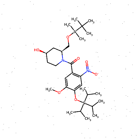 COc1cc(C(=O)N2CC[C@@H](O)C[C@H]2CO[Si](C)(C)C(C)(C)C)c([N+](=O)[O-])cc1O[Si](C(C)C)(C(C)C)C(C)C